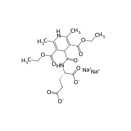 CCOC(=O)C1=C(C)NC(C)=C(C(=O)OCC)C1C(=O)N[C@@H](CCC(=O)[O-])C(=O)[O-].[Na+].[Na+]